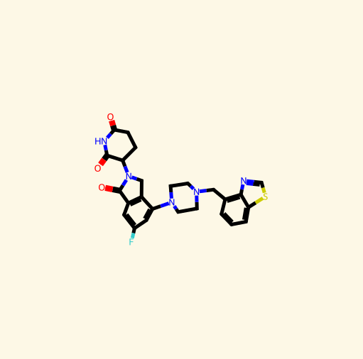 O=C1CCC(N2Cc3c(cc(F)cc3N3CCN(Cc4cccc5scnc45)CC3)C2=O)C(=O)N1